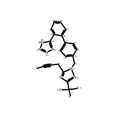 CC#CCc1nc(C(C)(F)F)nn1Cc1ccc(-c2ccccc2-c2nnn[nH]2)cc1